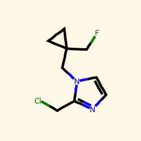 FCC1(Cn2ccnc2CCl)CC1